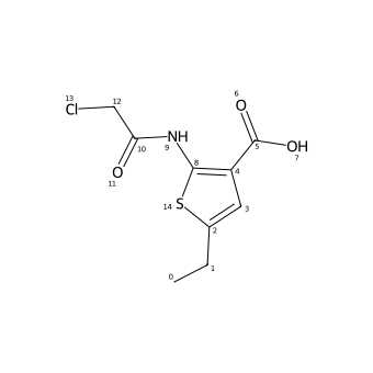 CCc1cc(C(=O)O)c(NC(=O)CCl)s1